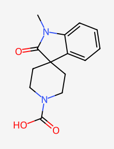 CN1C(=O)C2(CCN(C(=O)O)CC2)c2ccccc21